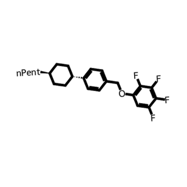 CCCCC[C@H]1CC[C@H](c2ccc(COc3cc(F)c(F)c(F)c3F)cc2)CC1